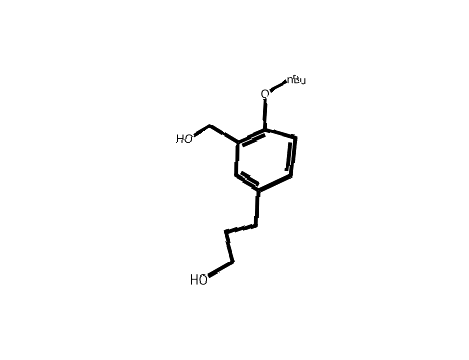 CCCCOc1ccc(CCCO)cc1CO